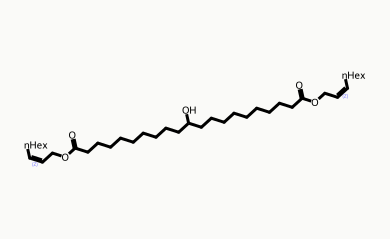 CCCCCC/C=C\COC(=O)CCCCCCCCCC(O)CCCCCCCCCC(=O)OC/C=C\CCCCCC